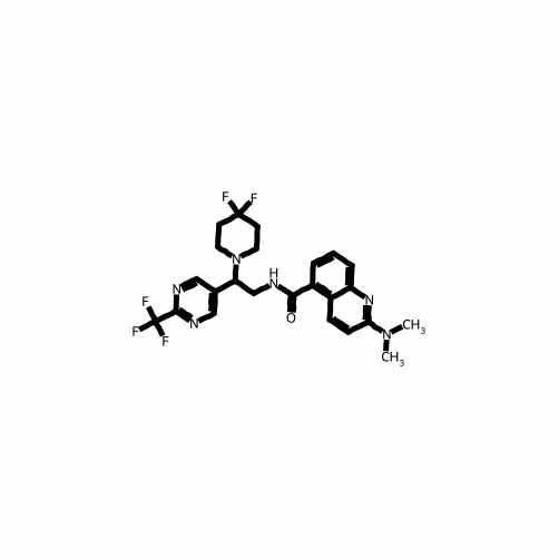 CN(C)c1ccc2c(C(=O)NCC(c3cnc(C(F)(F)F)nc3)N3CCC(F)(F)CC3)cccc2n1